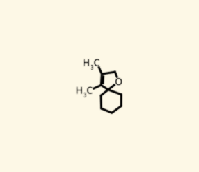 CC1=C(C)C2(CCCCC2)OC1